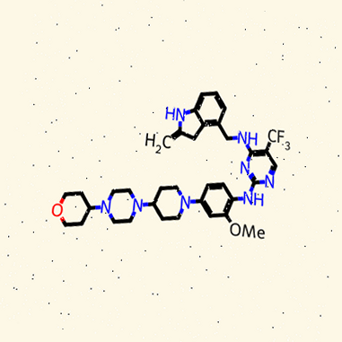 C=C1Cc2c(CNc3nc(Nc4ccc(N5CCC(N6CCN(C7CCOCC7)CC6)CC5)cc4OC)ncc3C(F)(F)F)cccc2N1